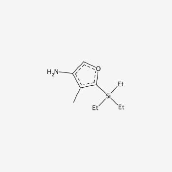 CC[Si](CC)(CC)c1occ(N)c1C